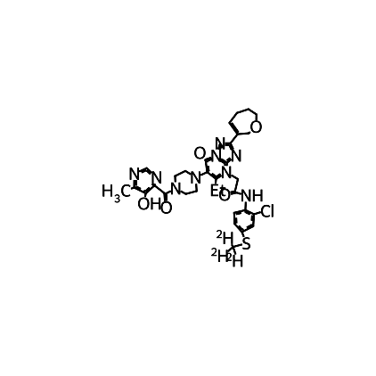 [2H]C([2H])([2H])Sc1ccc(NC(=O)Cn2c(CC)c(N3CCN(C(=O)c4ncnc(C)c4O)CC3)c(=O)n3nc(C4=CCCCOC4)nc23)c(Cl)c1